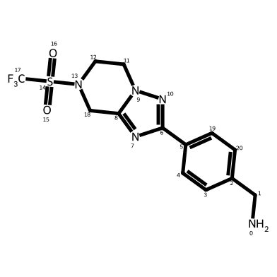 NCc1ccc(-c2nc3n(n2)CCN(S(=O)(=O)C(F)(F)F)C3)cc1